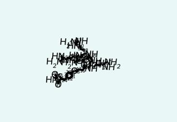 C[C@H](NC(=O)[C@H](CCCNC(=N)N)NC(=O)CCCOc1ccc(/C=C2\SC(=O)NC2=O)cc1)C(=O)N[C@@H](CCCNC(=N)N)C(=O)N[C@@H](CCCNC(=N)N)C(N)=O